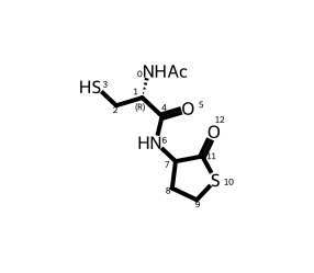 CC(=O)N[C@@H](CS)C(=O)NC1CCSC1=O